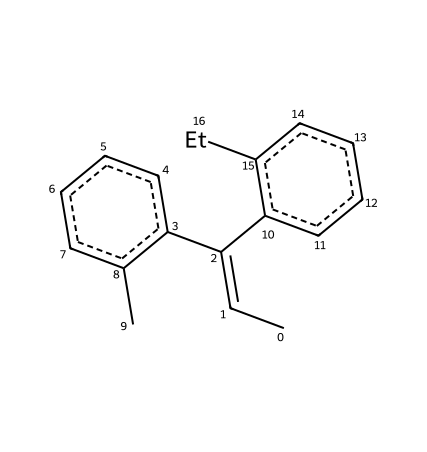 CC=C(c1ccccc1C)c1ccccc1CC